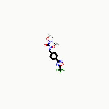 CONC(=O)N(Cc1ccc(-c2noc(C(F)(F)Cl)n2)cc1)OC